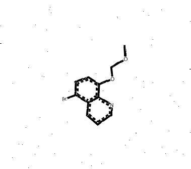 COCOc1ccc(Br)c2cccnc12